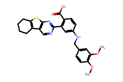 COc1ccc(CNc2ccc(C(=O)O)c(-c3ncc4c5c(sc4n3)CCCC5)c2)cc1OC